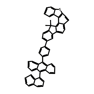 CC1(C)c2ccc(-c3ccc(-c4c5ccccc5c(-c5cccc6ccccc56)c5ccccc45)cc3)cc2-c2ccc3ccc4sc5ccccc5c4c3c21